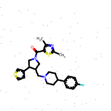 Cc1nc(C)c(C(=O)N2CC(CN3CCC(c4ccc(F)cc4)CC3)C(c3ccsc3)C2)s1